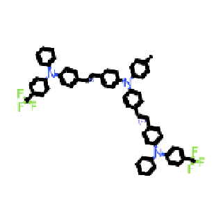 Cc1ccc(N(c2ccc(/C=C/c3ccc(N(c4ccccc4)c4ccc(C(F)(F)F)cc4)cc3)cc2)c2ccc(/C=C/c3ccc(N(c4ccccc4)c4ccc(C(F)(F)F)cc4)cc3)cc2)cc1